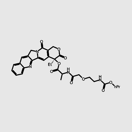 CCCOC(=O)NCCOCC(=O)NC(C)C(=O)O[C@]1(CC)C(=O)OCc2c1cc1n(c2=O)Cc2cc3ccccc3nc2-1